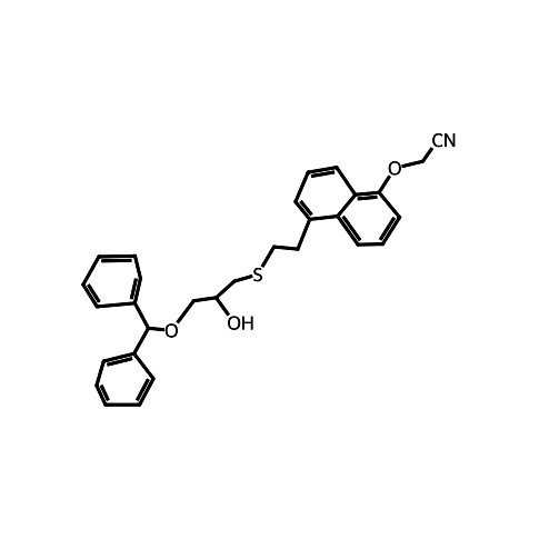 N#CCOc1cccc2c(CCSCC(O)COC(c3ccccc3)c3ccccc3)cccc12